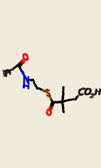 CC(C)C(=O)NCCSC(=O)C(C)(C)CC(=O)O